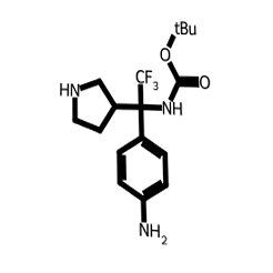 CC(C)(C)OC(=O)NC(c1ccc(N)cc1)(C1CCNC1)C(F)(F)F